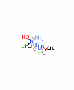 COc1cccc(F)c1-c1nccc(C(=O)Nc2ccc(Cl)cc2N2CC(N)CC2CO)n1